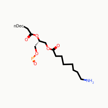 CCCCCCCCCCCC(=O)O[C@@H](COP=O)COC(=O)CCCCCCCN